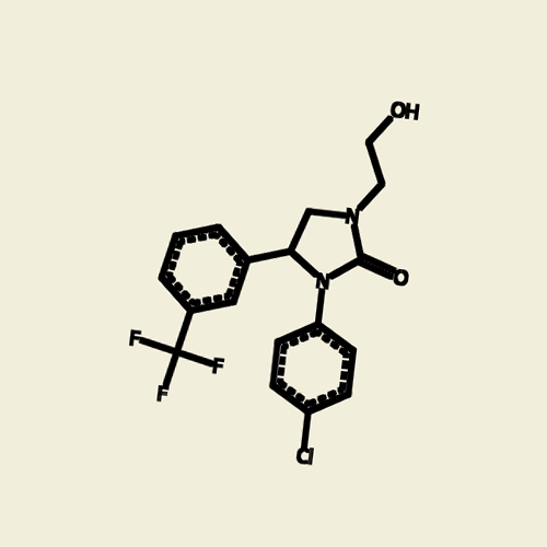 O=C1N(CCO)CC(c2cccc(C(F)(F)F)c2)N1c1ccc(Cl)cc1